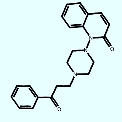 O=C(CCN1CCN(n2c(=O)ccc3ccccc32)CC1)c1ccccc1